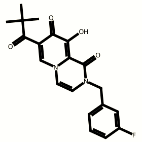 CC(C)(C)C(=O)c1cn2ccn(Cc3cccc(F)c3)c(=O)c2c(O)c1=O